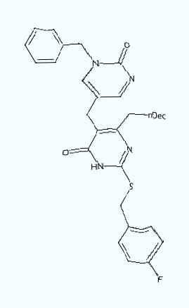 CCCCCCCCCCCc1nc(SCc2ccc(F)cc2)[nH]c(=O)c1Cc1cnc(=O)n(Cc2ccccc2)c1